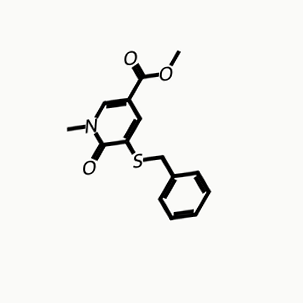 COC(=O)c1cc(SCc2ccccc2)c(=O)n(C)c1